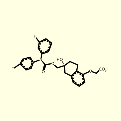 O=C(O)COc1cccc2c1CC[C@](O)(COC(=O)N(c1ccc(F)cc1)c1cccc(F)c1)C2